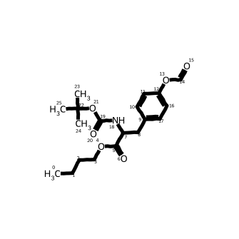 CCCCOC(=O)C(Cc1ccc(OC=O)cc1)NC(=O)OC(C)(C)C